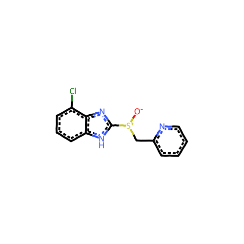 [O-][S+](Cc1ccccn1)c1nc2c(Cl)cccc2[nH]1